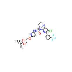 CC1(C)OC[C@H](COc2ccc(NC(=O)N3c4nc(-c5cccc(C(F)(F)F)c5)c(Cl)cc4N4CCC[C@H]3C4)cn2)O1